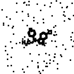 CCN(c1ccncc1)c1csc2cc(Cl)ccc12